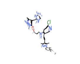 Cc1nn(C(F)(F)F)c(C)c1C#Cc1cnc(Cl)cc1NCC[C@H](C)Oc1c(-c2nccc(N)n2)c(C)nn1C